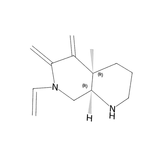 C=CN1C[C@@H]2NCCC[C@]2(C)C(=C)C1=C